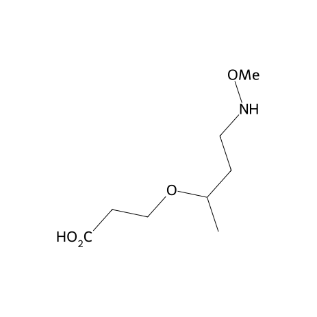 CONCCC(C)OCCC(=O)O